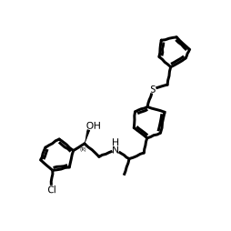 CC(Cc1ccc(SCc2ccccc2)cc1)NC[C@H](O)c1cccc(Cl)c1